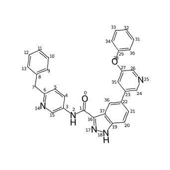 O=C(Nc1ccc(Cc2ccccc2)nc1)c1n[nH]c2ccc(-c3cncc(Oc4ccccc4)c3)cc12